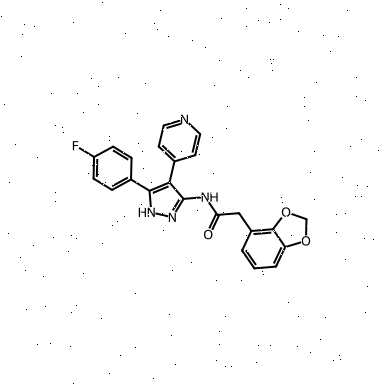 O=C(Cc1cccc2c1OCO2)Nc1n[nH]c(-c2ccc(F)cc2)c1-c1ccncc1